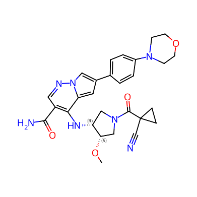 CO[C@H]1CN(C(=O)C2(C#N)CC2)C[C@H]1Nc1c(C(N)=O)cnn2cc(-c3ccc(N4CCOCC4)cc3)cc12